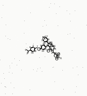 CC(C)c1ccc(COc2ccc(-c3c(-c4ccncc4)nn4c3C(=O)N(CCOS(C)(=O)=O)CC4)cc2)cc1